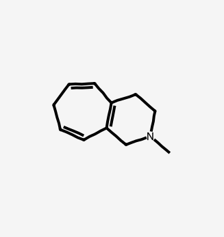 CN1CCC2=C(C=CCC=C2)C1